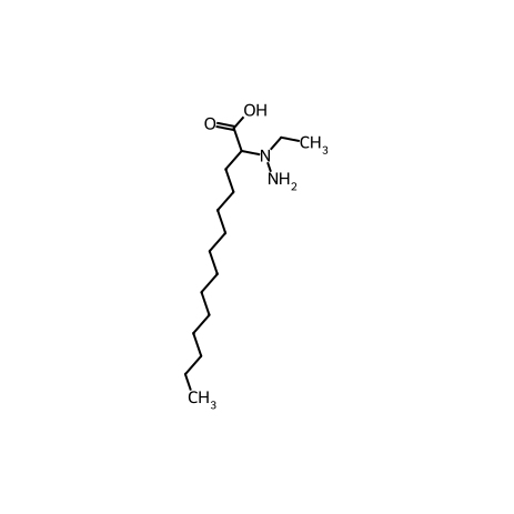 CCCCCCCCCCCCC(C(=O)O)N(N)CC